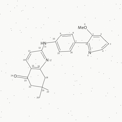 COc1cccnc1-c1ccc(Nc2ccc3c(n2)CC(C)(C)CC3=O)cc1